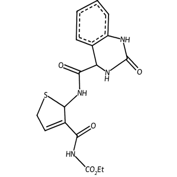 CCOC(=O)NC(=O)C1=CCSC1NC(=O)C1NC(=O)Nc2ccccc21